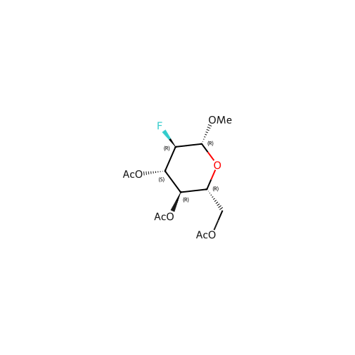 CO[C@@H]1O[C@H](COC(C)=O)[C@@H](OC(C)=O)[C@H](OC(C)=O)[C@H]1F